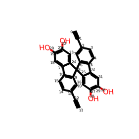 C#Cc1ccc2c(c1)C1(c3cc(C#C)ccc3-c3cc(O)c(O)cc31)c1cc(O)c(O)cc1-2